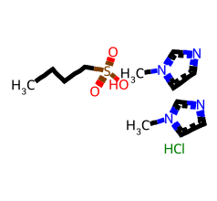 CCCCS(=O)(=O)O.Cl.Cn1ccnc1.Cn1ccnc1